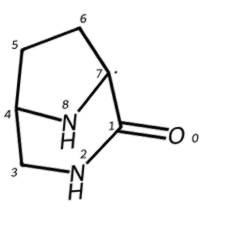 O=C1NCC2CC[C]1N2